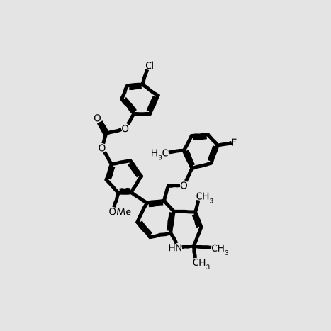 COc1cc(OC(=O)Oc2ccc(Cl)cc2)ccc1-c1ccc2c(c1COc1cc(F)ccc1C)C(C)=CC(C)(C)N2